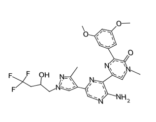 COc1cc(OC)cc(-c2nc(-c3nc(-c4cn(CC(O)CC(F)(F)F)nc4C)cnc3N)cn(C)c2=O)c1